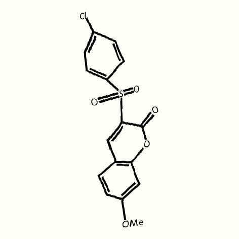 COc1ccc2cc(S(=O)(=O)c3ccc(Cl)cc3)c(=O)oc2c1